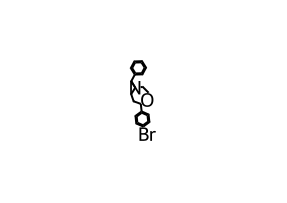 Brc1ccc(C2CCN(Cc3ccccc3)CCO2)cc1